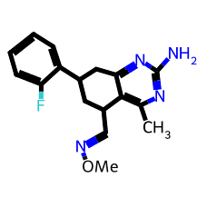 CON=CC1CC(c2ccccc2F)Cc2nc(N)nc(C)c21